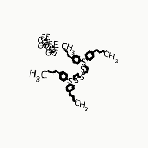 CCCCc1ccc([S+](c2ccc(CCCC)cc2)c2ccc(Sc3ccc([S+](c4ccc(CCCC)cc4)c4ccc(CCCC)cc4)s3)s2)cc1.O=S(=O)([O-])C(F)(F)F.O=S(=O)([O-])C(F)(F)F